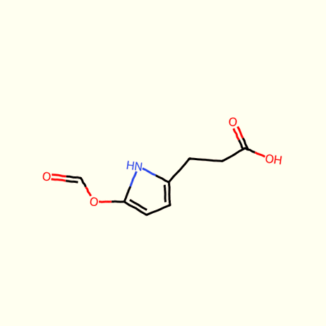 O=COc1ccc(CCC(=O)O)[nH]1